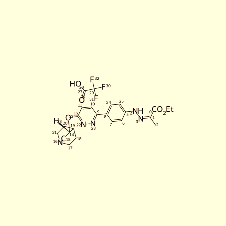 CCOC(=O)/C(C)=N\Nc1ccc(-c2ccc(O[C@H]3CN4CCC3CC4)nn2)cc1.O=C(O)C(F)(F)F